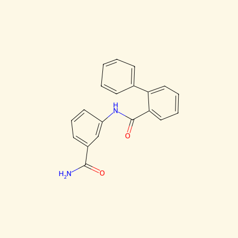 NC(=O)c1cccc(NC(=O)c2ccccc2-c2ccccc2)c1